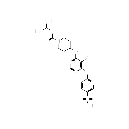 Cc1c(Oc2ccc(S(C)(=O)=O)cn2)ncnc1OC1CCN(C(=O)OC(C)C)CC1